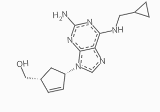 Nc1nc(NCC2CC2)c2ncn([C@@H]3C=C[C@H](CO)C3)c2n1